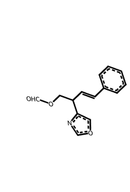 O=COCC(C=Cc1ccccc1)c1cocn1